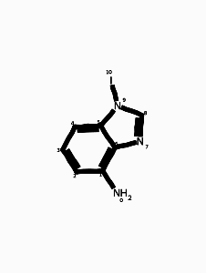 Nc1cccc2c1ncn2I